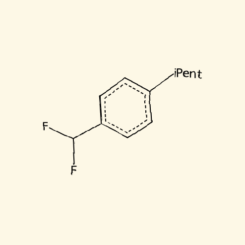 CCCC(C)c1ccc(C(F)F)cc1